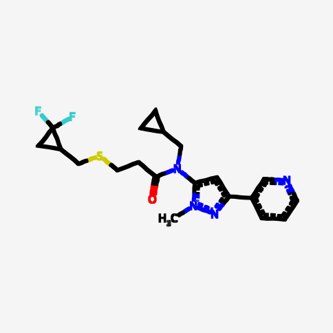 Cn1nc(-c2cccnc2)cc1N(CC1CC1)C(=O)CCSCC1CC1(F)F